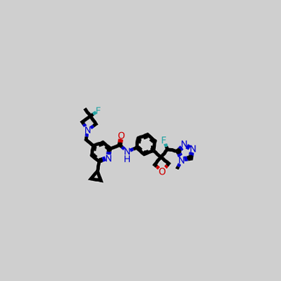 Cn1cnnc1C(F)C1(c2cccc(NC(=O)c3cc(CN4CC(C)(F)C4)cc(C4CC4)n3)c2)COC1